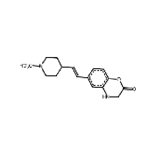 O=C1CNc2cc(C=CC3CCN(C(=O)O)CC3)ccc2O1